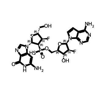 Nc1cc2c(ncn2[C@@H]2S[C@H](CO)[C@@H](F)[C@H]2P(=O)(S)OC[C@H]2O[C@@H](n3ccc4c(N)ncnc43)[C@@H](F)[C@@H]2O)c(=O)[nH]1